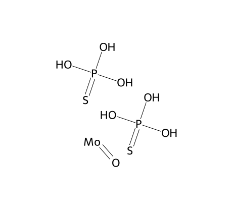 OP(O)(O)=S.OP(O)(O)=S.[O]=[Mo]